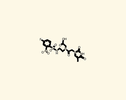 Cc1cn(CC(=O)N(CCNS(=O)(=O)c2ccc(F)cc2[N+](=O)[O-])CC(=O)O)c(=O)[nH]c1=O